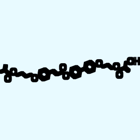 C=C(C)C(=O)OCCCCOc1ccc(/C=C/C(=O)Oc2ccc(-c3ccc(OCCCOC(=O)C(=C)CO)cc3)cc2)cc1